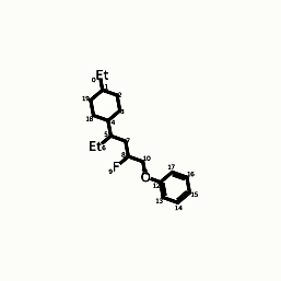 CCC1CCC(C(CC)CC(F)COc2ccccc2)CC1